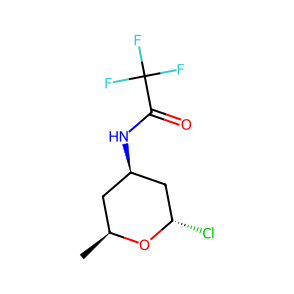 C[C@H]1C[C@@H](NC(=O)C(F)(F)F)C[C@H](Cl)O1